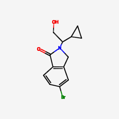 O=C1c2ccc(Br)cc2CN1C(CO)C1CC1